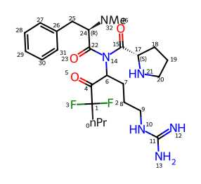 CCCC(F)(F)C(=O)C(CCCNC(=N)N)N(C(=O)[C@@H]1CCCN1)C(=O)[C@@H](Cc1ccccc1)NC